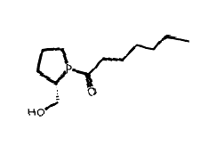 CCCCCCC(=O)P1CCC[C@H]1CO